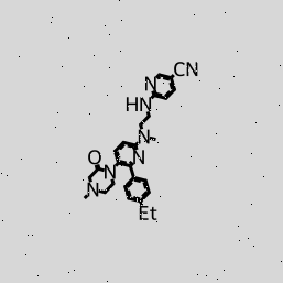 CCc1ccc(-c2nc(N(C)CCNc3ccc(C#N)cn3)ccc2N2CCN(C)CC2=O)cc1